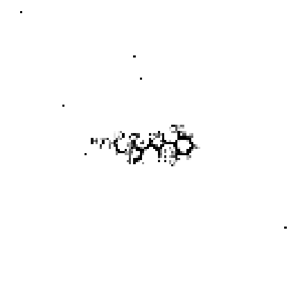 C[C@@H](O)Cn1ncc(-c2onc(-c3c(F)cccc3Cl)c2C(=O)O)c1C(F)(F)F